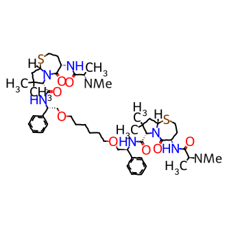 CN[C@@H](C)C(=O)N[C@H]1CCS[C@H]2CC(C)(C)[C@@H](C(=O)N[C@H](COCCCCCCOC[C@@H](NC(=O)[C@H]3N4C(=O)[C@@H](NC(=O)[C@H](C)NC)CCS[C@H]4CC3(C)C)c3ccccc3)c3ccccc3)N2C1=O